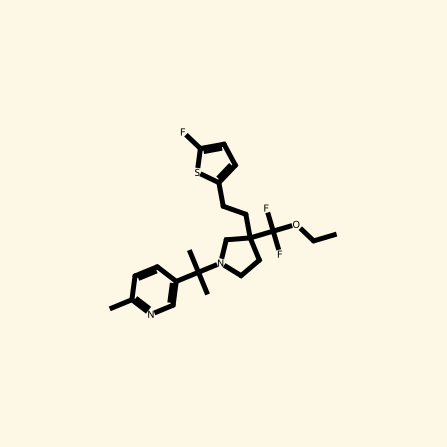 CCOC(F)(F)C1(CCc2ccc(F)s2)CCN(C(C)(C)c2ccc(C)nc2)C1